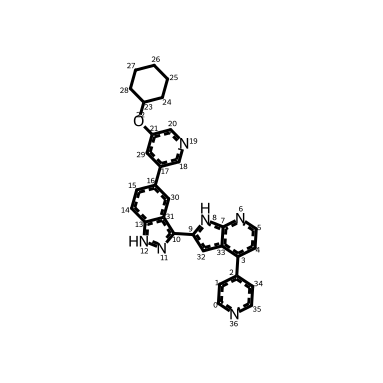 c1cc(-c2ccnc3[nH]c(-c4n[nH]c5ccc(-c6cncc(OC7CCCCC7)c6)cc45)cc23)ccn1